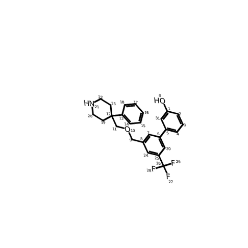 Oc1cccc(-c2cc(COCC3(c4ccccc4)CCNCC3)cc(C(F)(F)F)c2)c1